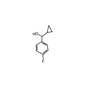 OC(c1ccc(F)cc1)C1CC1